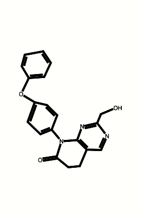 O=C1CCc2cnc(CO)nc2N1c1ccc(Oc2ccccc2)cc1